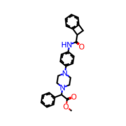 COC(=O)C(c1ccccc1)N1CCN(c2ccc(NC(=O)C3Cc4ccccc43)cc2)CC1